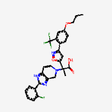 CCCOc1ccc(-c2cc(C(C)(C(=O)O)N3C=Cc4[nH]c(-c5ccccc5F)nc4C3)on2)c(C(F)(F)F)c1